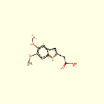 COc1cc2cc(CC(=O)O)sc2cc1OC